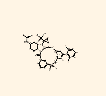 CC(=O)N[C@H]1CC[C@H](N2C(=O)c3cccc(c3)S(=O)(=O)Nc3nc(cc(-c4c(C)cccc4C)n3)OC[C@H]2CC2(C(F)(F)F)CC2)CC1